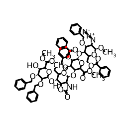 CCC1O[C@H](O[C@H]2C(C(=O)OC)O[C@@H](O[C@@H]3C(COC(=O)c4ccccc4)O[C@H](OC)C(N=[N+]=[N-])[C@@H]3OCc3ccccc3)C(OC(=O)c3ccccc3)[C@@H]2OCc2ccccc2)C2NC(=O)O[C@H]2[C@@H]1O[C@@H]1OC(C(=O)OC)[C@@H](O)[C@@H](OCc2ccccc2)C1OCc1ccccc1